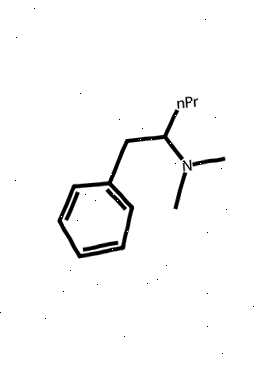 CCCC(Cc1ccccc1)N(C)C